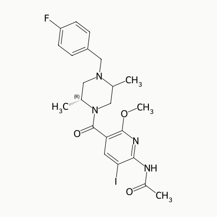 COc1nc(NC(C)=O)c(I)cc1C(=O)N1CC(C)N(Cc2ccc(F)cc2)C[C@H]1C